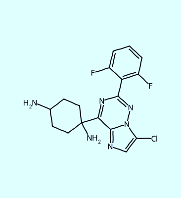 NC1CCC(N)(c2nc(-c3c(F)cccc3F)nn3c(Cl)cnc23)CC1